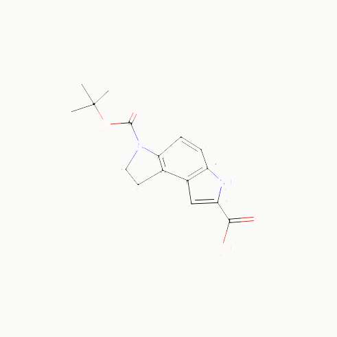 CC(C)(C)OC(=O)N1CCc2c1ccc1[nH]c(C(=O)O)cc21